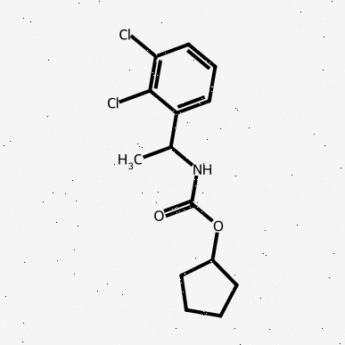 CC(NC(=O)OC1CCCC1)c1cccc(Cl)c1Cl